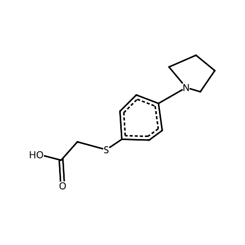 O=C(O)CSc1ccc(N2CCCC2)cc1